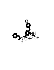 COc1ccc(Cc2ccc([C@@H](O)CNC(C)Cc3ccccc3)cc2NC(=O)CO)cc1